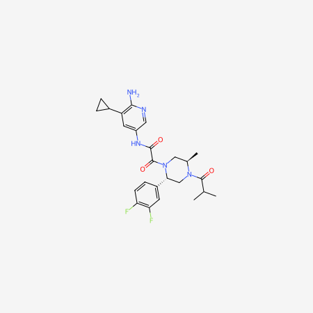 CC(C)C(=O)N1C[C@H](c2ccc(F)c(F)c2)N(C(=O)C(=O)Nc2cnc(N)c(C3CC3)c2)C[C@H]1C